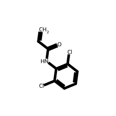 C=CC(=O)Nc1c(Cl)cccc1Cl